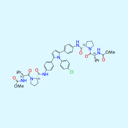 COC(=O)N[C@H](C(=O)N1CCC[C@H]1C(=O)Nc1ccc(-c2ccc(-c3ccc(NC(=O)[C@@H]4CCCN4C(=O)[C@@H](NC(=O)OC)C(C)C)cc3)n2-c2ccc(Cl)cc2)cc1)C(C)C